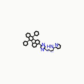 N=C(/C=C\C=C\c1cnc(-c2ccc3c4c(cccc24)-c2c-3c(-c3ccccc3)c3ccccc3c2-c2ccccc2)cn1)c1ccccn1